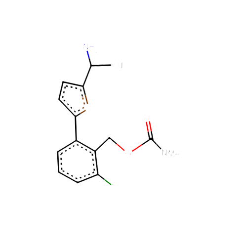 CNC(=O)OCc1c(F)cccc1-c1ccc(C(C)N)s1